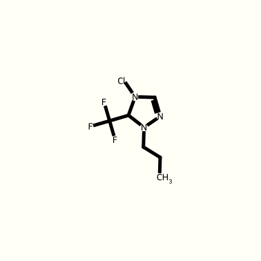 CCCN1N=CN(Cl)C1C(F)(F)F